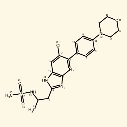 CC(Cc1nc2nc(-c3ccc(N4CCOCC4)cc3)c(Cl)cc2[nH]1)NS(C)(=O)=O